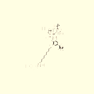 Cc1ncsc1-c1ccc(CNC(=O)[C@@H]2C[C@@H](O)CN2C(=O)[C@@H](NC(=O)C2(F)CC2)C(C)(C)C)c(OCCCCCCCCCCNC(=O)O)c1